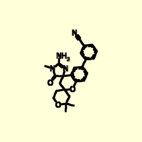 CN1C(=O)C2(CC3(CCOC(C)(C)C3)Oc3ccc(-c4cccc(C#N)c4)cc32)N=C1N